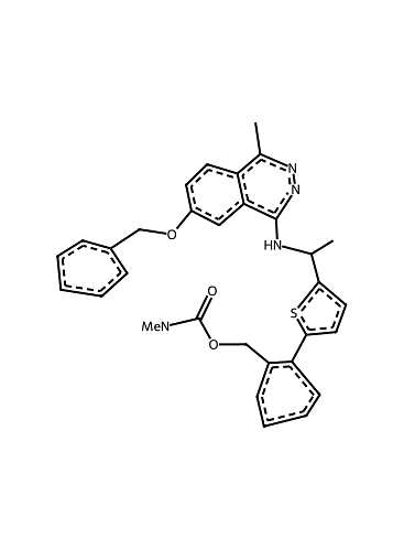 CNC(=O)OCc1ccccc1-c1ccc(C(C)Nc2nnc(C)c3ccc(OCc4ccccc4)cc23)s1